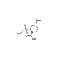 C=CCS(=O)(=O)C1CC(N(C)C)CCN1C(=O)O